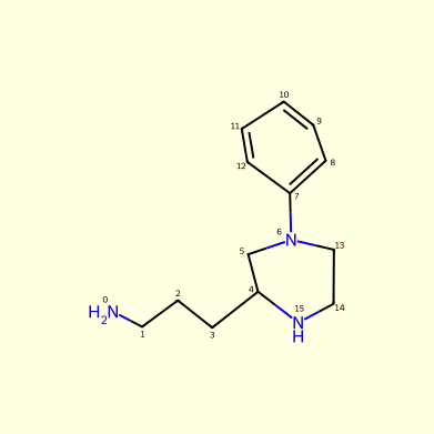 NCCCC1CN(c2ccccc2)CCN1